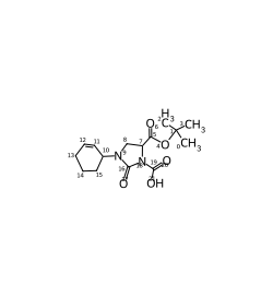 CC(C)(C)OC(=O)C1CN(C2C=CCCC2)C(=O)N1C(=O)O